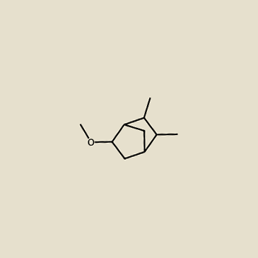 COC1CC2CC1C(C)C2C